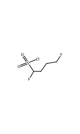 O=S(=O)(Cl)C(F)CCCF